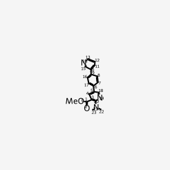 COC(=O)c1cc(-c2ccc(-c3cccnc3)cc2)cnc1N(C)C